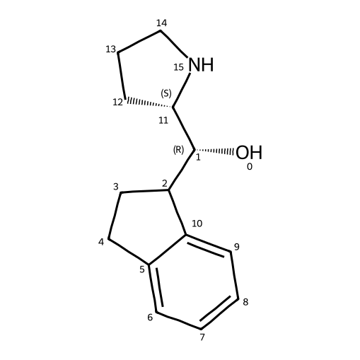 O[C@H](C1CCc2ccccc21)[C@@H]1CCCN1